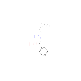 COCCNCC(O)c1ccccc1